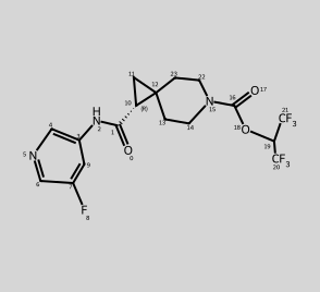 O=C(Nc1cncc(F)c1)[C@@H]1CC12CCN(C(=O)OC(C(F)(F)F)C(F)(F)F)CC2